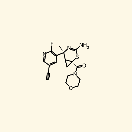 C#Cc1cnc(F)c([C@@]2(C)N=C(N)S[C@@]3(C(=O)N4CCOCC4)CC32)c1